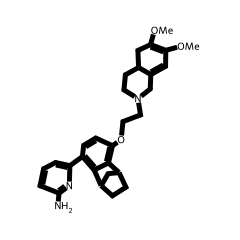 COC1=C(OC)CC2CCN(CCOc3ccc(-c4cccc(N)n4)c4c3C3CCC4C3)CC2=C1